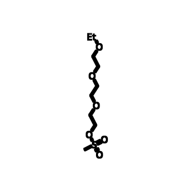 CCOCCOCCOCCOS(C)(=O)=O